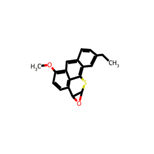 CCc1ccc2cc3c(OC)ccc4c3c(c2c1)SC1OC41